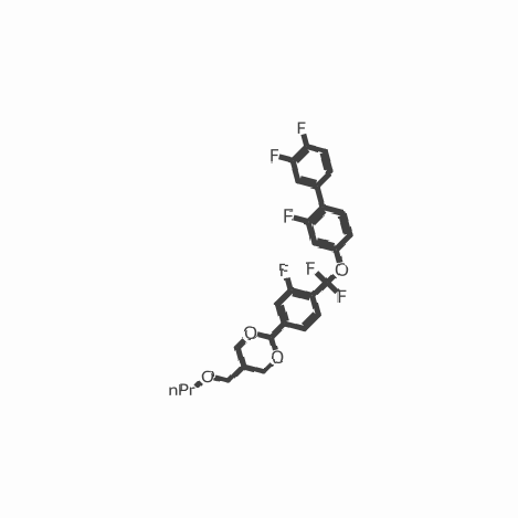 CCCOCC1COC(c2ccc(C(F)(F)Oc3ccc(-c4ccc(F)c(F)c4)c(F)c3)c(F)c2)OC1